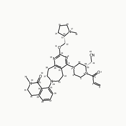 C=CC(=O)N1CCN(c2nc(OC[C@@H]3CCCN3C)nc3c2CCN(c2cccc4c2C(=O)N(C)CC4)CC3)C[C@@H]1CC#N